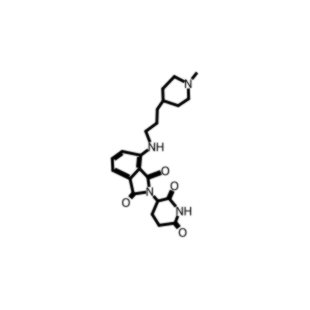 CN1CCC(CCCNc2cccc3c2C(=O)N(C2CCC(=O)NC2=O)C3=O)CC1